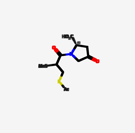 CSC(CSC(C)=O)C(=O)N1CC(=O)C[C@H]1C(=O)O